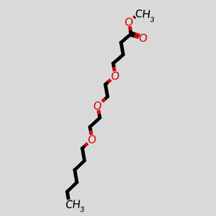 CCCCCCOCCOCCOCCCC(=O)OC